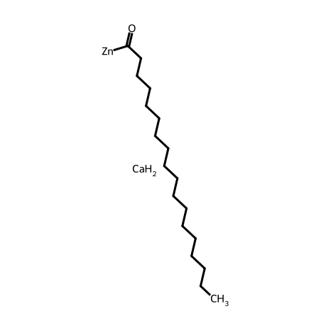 CCCCCCCCCCCCCCCCC[C](=O)[Zn].[CaH2]